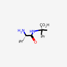 CC(C)[C@H](N)C(=O)N[C@](C)(C(=O)O)C(C)C